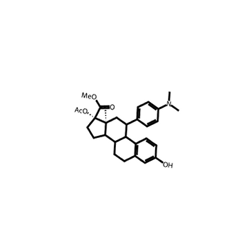 COC(=O)[C@]1(OC(C)=O)CCC2C3CCc4cc(O)ccc4C3C(c3ccc(N(C)C)cc3)C[C@@]21C